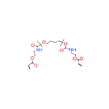 C=CC(=O)OCCNC(=O)OC(C)(C)CCCCOC(C)(C)C(=O)NCCOC(=O)C=C